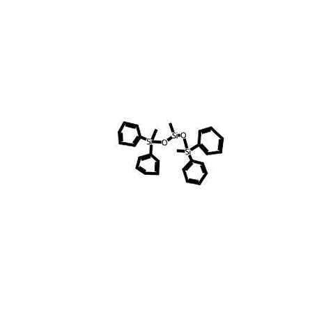 C[Si](O[Si](C)(c1ccccc1)c1ccccc1)O[Si](C)(c1ccccc1)c1ccccc1